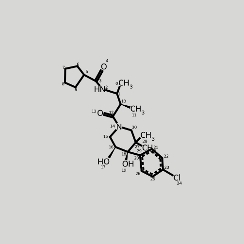 CC(NC(=O)C1CCCC1)[C@@H](C)C(=O)N1C[C@H](O)[C@@](O)(c2ccc(Cl)cc2)C(C)(C)C1